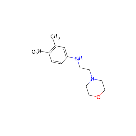 Cc1cc(NCCN2CCOCC2)ccc1[N+](=O)[O-]